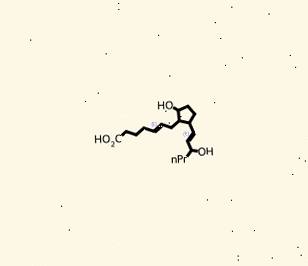 CCCC(O)/C=C/C1CCC(O)C1C/C=C/CCCC(=O)O